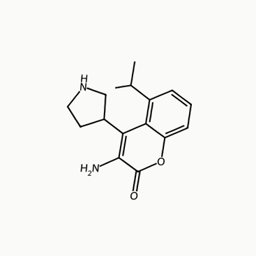 CC(C)c1cccc2oc(=O)c(N)c(C3CCNC3)c12